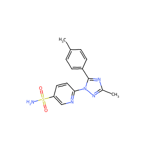 Cc1ccc(-c2nc(C)nn2-c2ccc(S(N)(=O)=O)cn2)cc1